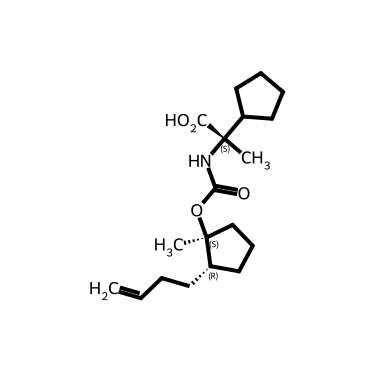 C=CCC[C@H]1CCC[C@]1(C)OC(=O)N[C@](C)(C(=O)O)C1CCCC1